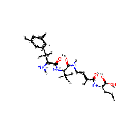 CCCC(NC(=O)/C(C)=C/CN(C)C(=O)C(NC(=O)C(NC)C(C)(C)c1cc(C)cc(C)c1)C(C)(C)C)C(=O)O